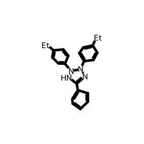 CCc1ccc(N2N=C(c3ccccc3)NN2c2ccc(CC)cc2)cc1